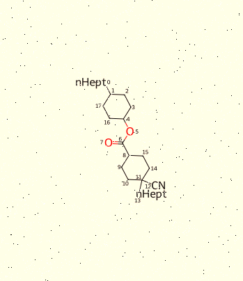 CCCCCCCC1CCC(OC(=O)C2CCC(C#N)(CCCCCCC)CC2)CC1